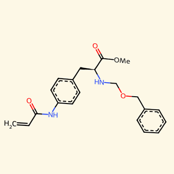 C=CC(=O)Nc1ccc(C[C@H](NCOCc2ccccc2)C(=O)OC)cc1